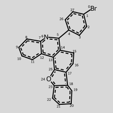 Brc1ccc(-c2nc3ccccc3c3c2ccc2c4ccccc4oc23)cc1